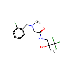 CN(CC(=O)NCC(C)(O)C(F)(F)F)Cc1ccccc1F